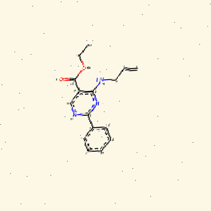 C=CCNc1nc(-c2ccccc2)ncc1C(=O)OCC